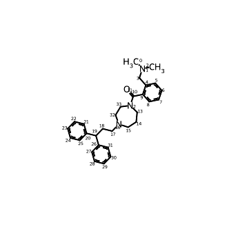 CN(C)Cc1ccccc1C(=O)N1CCCN(CCC(c2ccccc2)c2ccccc2)CC1